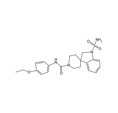 CCOc1ccc(NC(=O)N2CCC3(CC2)CN(S(N)(=O)=O)c2ccccc23)cc1